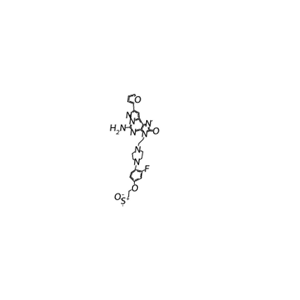 Cn1c(=O)n(CCN2CCN(c3ccc(OCC[S@+](C)[O-])cc3F)CC2)c2nc(N)n3nc(-c4ccco4)cc3c21